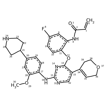 C=CC(=O)Nc1cc(F)ccc1Oc1nc(Nc2ccc(C3CCNCC3)cc2OC)ncc1C1=CCOCC1